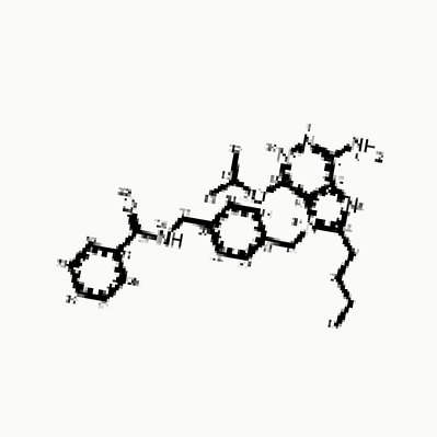 CCCCc1nc2c(N)nnc(OC(C)C)c2n1Cc1ccc(CNC(=O)c2ccccc2)cc1